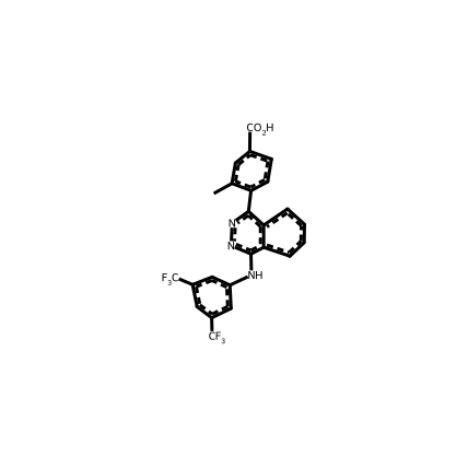 Cc1cc(C(=O)O)ccc1-c1nnc(Nc2cc(C(F)(F)F)cc(C(F)(F)F)c2)c2ccccc12